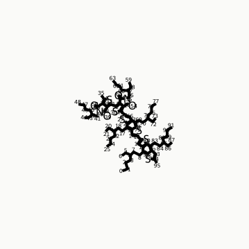 CCCCC(CC)CCc1c2cc(-c3cc4c(CCC(CC)CCCC)c5sc(-c6sc(-c7sc(C)c8c7C(=O)N(CC(CC)CCCC)C8=O)c7c6C(=O)N(CC(CC)CCCC)C7=O)cc5c(CCC(CC)CCCC)c4s3)sc2c(CCC(CC)CCCC)c2cc(C)sc12